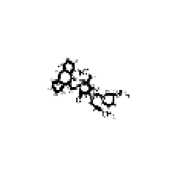 CC#CCn1c(N2CCCC(N)C2)nc2c(CC#N)nn(CC3=Nc4ccccc4Cc4ccccc43)c(=O)c21